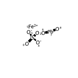 O=S(=O)([O-])[O-].[Fe+2].[O]=[Pb]=[O]